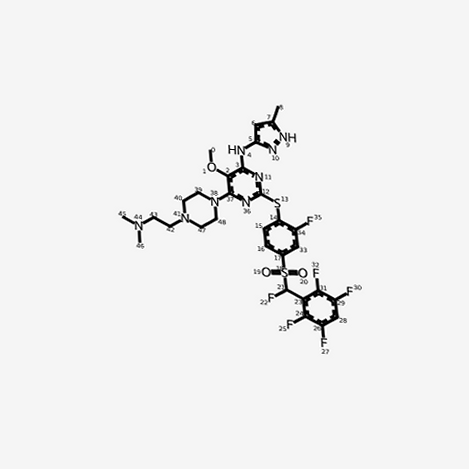 COc1c(Nc2cc(C)[nH]n2)nc(Sc2ccc(S(=O)(=O)C(F)c3c(F)c(F)cc(F)c3F)cc2F)nc1N1CCN(CCN(C)C)CC1